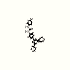 CC(=O)c1ccc(NC(=O)Nc2ccc(-c3nc(C4CCOCC4)nc(N4C5CCC4COC5)n3)cc2)cc1